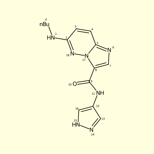 CCCCNc1ccc2ncc(C(=O)Nc3cn[nH]c3)n2n1